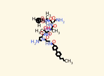 CCCCc1ccc(-c2ccc(C(=O)NCCC(=O)N3C[C@@H](N)C[C@H]3C(=O)N[C@H](C(=O)N[C@@H](C)C(=O)N[C@@H](CC(N)=O)C(=O)N[C@@H](C)B3OC4C[C@@H]5C[C@H](C4O3)C5(C)C)C(C)O)cc2)cc1